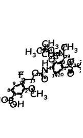 COc1cc(B(O)O)ccc1[C@@H](F)COC(=O)Nc1ccc(S(=O)(=O)C2CC2)c(CN(C)C(=O)OC(C)(C)C)c1